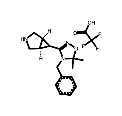 CC1(C)ON=C(C2[C@H]3CNC[C@@H]23)N1Cc1ccccc1.O=C(O)C(F)(F)F